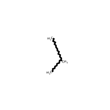 [CH2]CCCCCCCCCCCCCC(C)CCCCCCCC[CH2]